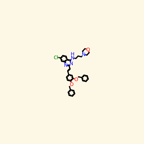 Clc1ccc2c(NCCCN3CCOCC3)nc(C=Cc3ccc(OCc4ccccc4)c(OCc4ccccc4)c3)nc2c1